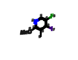 COc1ncc(F)c(I)c1C